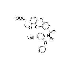 CCN(C(=O)c1ccc(Oc2ccc3c(c2)OCCC3C(=O)[O-])c(Cl)c1)c1ccc(Cl)cc1Oc1ccccc1.[Na+]